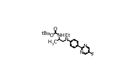 CCN(CC(C)NC(=O)OC(C)(C)C)c1ccc(-c2ncc(F)cn2)cc1